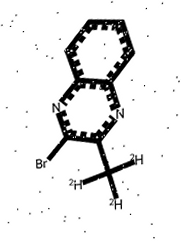 [2H]C([2H])([2H])c1nc2ccccc2nc1Br